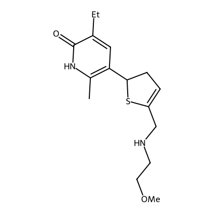 CCc1cc(C2CC=C(CNCCOC)S2)c(C)[nH]c1=O